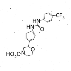 O=C(Nc1ccc(C2CN(C(=O)O)CCO2)cc1)Nc1ccc(C(F)(F)F)cc1